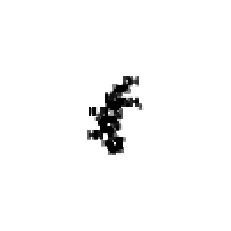 N=C1C=C(N)/C(=N\c2cnn(CCO)c2N)N=C1N1CCCC1